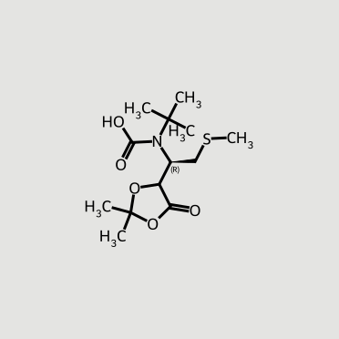 CSC[C@@H](C1OC(C)(C)OC1=O)N(C(=O)O)C(C)(C)C